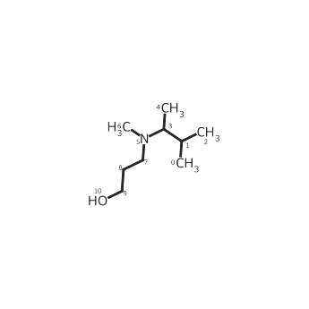 CC(C)C(C)N(C)CCCO